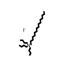 CCCCCCCCCCCCCCCC[N+](CCCC)(CCCC)CCCC.[I-]